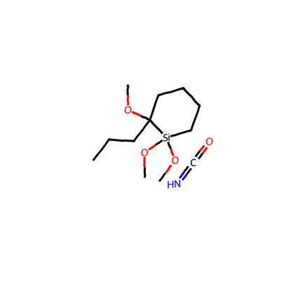 CCCC1(OC)CCCC[Si]1(OC)OC.N=C=O